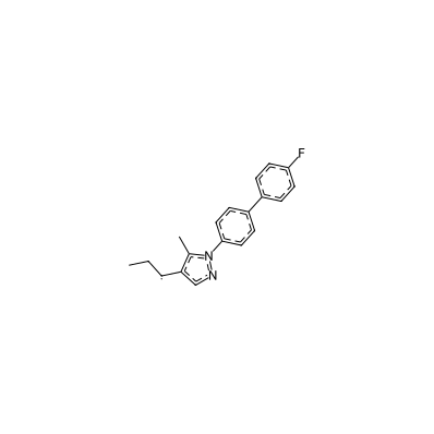 CC[CH]c1cnn(-c2ccc(-c3ccc(F)cc3)cc2)c1C